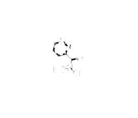 CN(C)C(=O)c1cccnn1